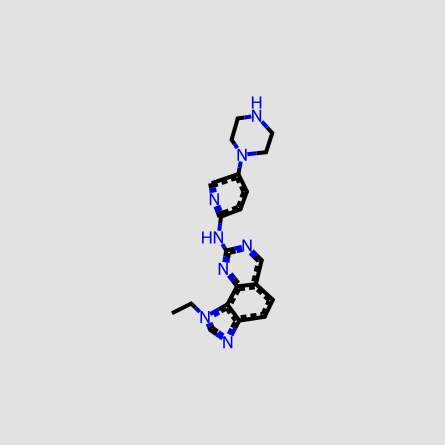 CCn1cnc2ccc3cnc(Nc4ccc(N5CCNCC5)cn4)nc3c21